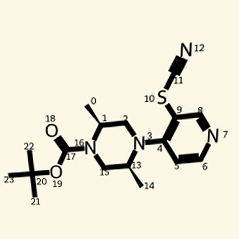 C[C@H]1CN(c2ccncc2SC#N)[C@@H](C)CN1C(=O)OC(C)(C)C